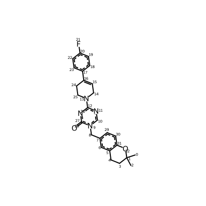 CC1(C)CCc2cc(Cn3cnc(N4CC=C(c5ccc(F)cc5)CC4)nc3=O)ccc2O1